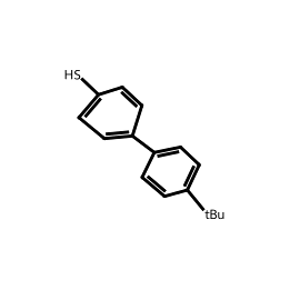 CC(C)(C)c1ccc(-c2ccc(S)cc2)cc1